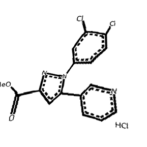 COC(=O)c1cc(-c2cccnc2)n(-c2ccc(Cl)c(Cl)c2)n1.Cl